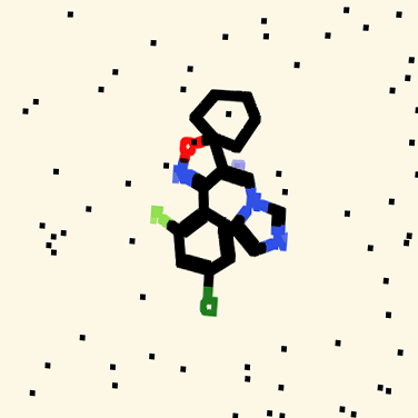 Fc1cc(Cl)ccc1C1=NOC2(CCCCC2)/C1=C/n1ccnc1